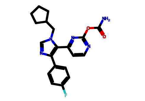 NC(=O)Oc1nccc(-c2c(-c3ccc(F)cc3)ncn2CC2CCCC2)n1